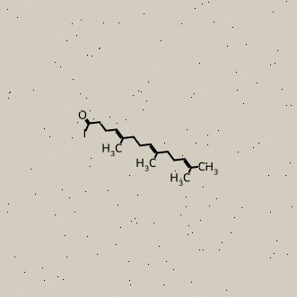 CC(C)=CCC/C(C)=C/CC/C(C)=C/CCC(=O)I